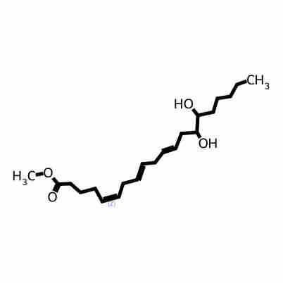 CCCCCC(O)C(O)CC=CCC=CC/C=C\CCCC(=O)OC